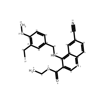 CCOC(=O)c1cnc2ccc(C#N)cc2c1NCc1ccc(OC)c(CI)c1